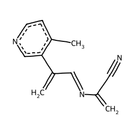 C=C(C#N)/N=C/C(=C)c1cnccc1C